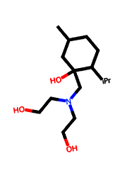 CC1CCC(C(C)C)C(O)(CN(CCO)CCO)C1